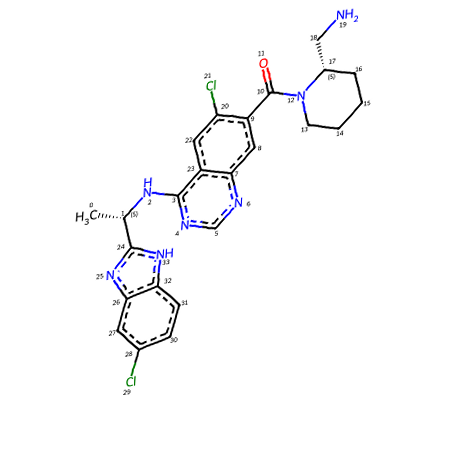 C[C@H](Nc1ncnc2cc(C(=O)N3CCCC[C@H]3CN)c(Cl)cc12)c1nc2cc(Cl)ccc2[nH]1